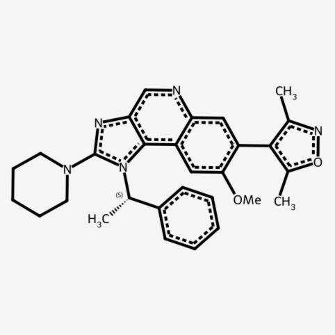 COc1cc2c(cc1-c1c(C)noc1C)ncc1nc(N3CCCCC3)n([C@@H](C)c3ccccc3)c12